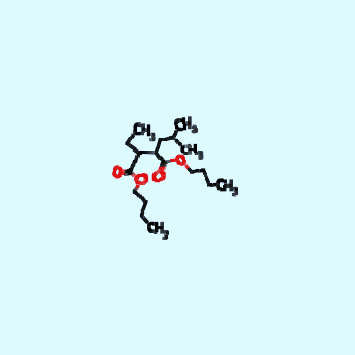 CCCCOC(=O)C(CC)C(CC(C)C)C(=O)OCCCC